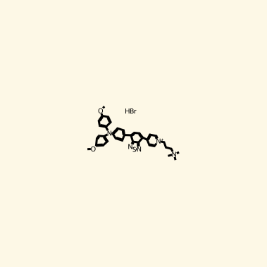 Br.COc1ccc(N(c2ccc(OC)cc2)c2ccc(-c3ccc(-c4cc[n+](CCC[N+](C)(C)C)cc4)c4nsnc34)cc2)cc1